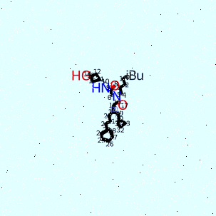 CCC(C)CCCCN(CC(=O)NC[C@H]1C[C@H](O)C1)C(=O)/C=C(/CCCc1ccccc1)CC1CCC1